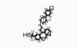 C[C@@H]1CN(CC/C=C2/c3cc(C(C)(C)O)ccc3OCc3ncccc32)CCN1c1ccc(Cl)cc1